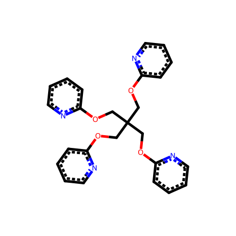 c1ccc(OCC(COc2ccccn2)(COc2ccccn2)COc2ccccn2)nc1